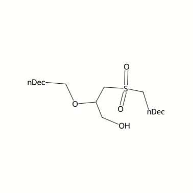 CCCCCCCCCCCOC(CO)CS(=O)(=O)CCCCCCCCCCC